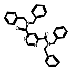 O=C(c1cc(C(=O)N(Cc2ccccc2)Cc2ccccc2)ncn1)N(Cc1ccccc1)Cc1ccccc1